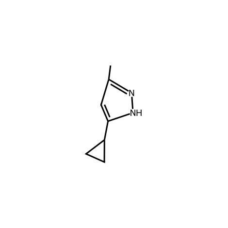 Cc1cc(C2CC2)[nH]n1